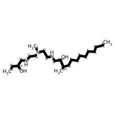 CCCCCCCCCCC(C)C(O)CNCCN(C)CCNCC(O)CC